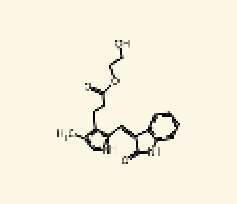 Cc1c[nH]c(C=C2C(=O)Nc3ccccc32)c1CCC(=O)OCCO